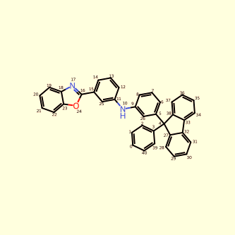 c1ccc(C2(c3cccc(Nc4cccc(-c5nc6ccccc6o5)c4)c3)c3ccccc3-c3ccccc32)cc1